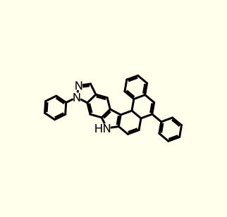 C1=CC2C(c3ccccc3)=Cc3ccccc3C2c2c1[nH]c1cc3c(cnn3-c3ccccc3)cc21